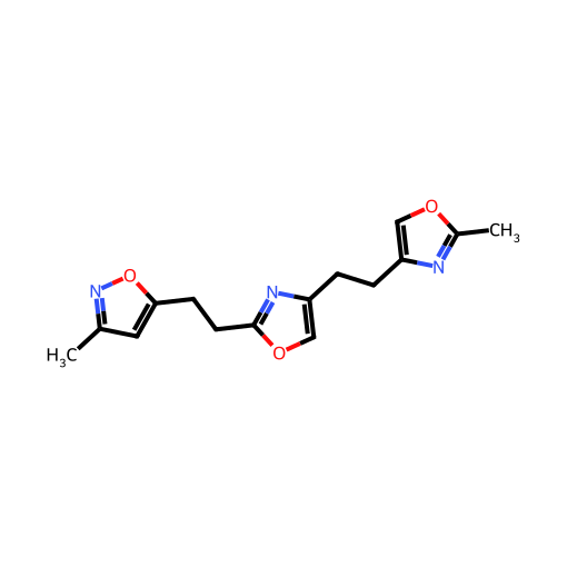 Cc1cc(CCc2nc(CCc3coc(C)n3)co2)on1